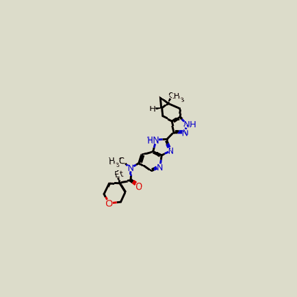 CCC1(C(=O)N(C)c2cnc3nc(-c4n[nH]c5c4C[C@@H]4C[C@]4(C)C5)[nH]c3c2)CCOCC1